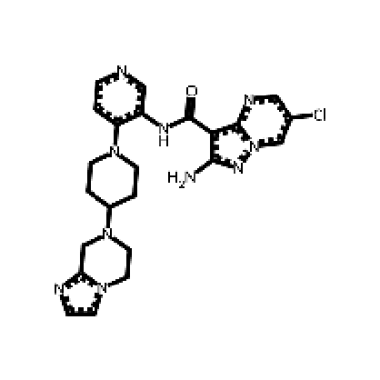 Nc1nn2cc(Cl)cnc2c1C(=O)Nc1cnccc1N1CCC(N2CCn3ccnc3C2)CC1